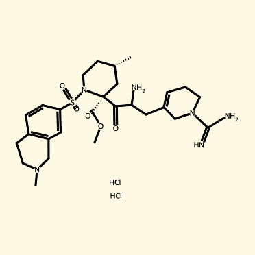 COC(=O)[C@@]1(C(=O)C(N)CC2=CCCN(C(=N)N)C2)C[C@@H](C)CCN1S(=O)(=O)c1ccc2c(c1)CN(C)CC2.Cl.Cl